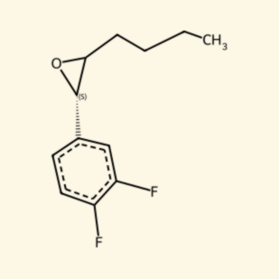 CCCCC1O[C@H]1c1ccc(F)c(F)c1